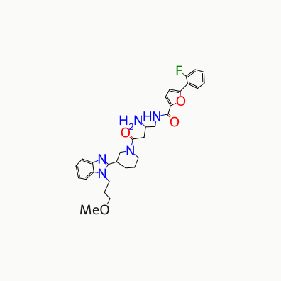 COCCCn1c(C2CCCN(C(=O)CC(N)CNC(=O)c3ccc(-c4ccccc4F)o3)C2)nc2ccccc21